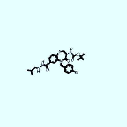 CC(C)CNNC(=O)c1ccc2c(c1)N(Cc1ccc(Cl)cc1)C(=O)[C@@H](NC(=O)OC(C)(C)C)CS2